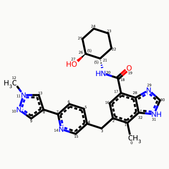 Cc1c(Cc2ccc(-c3cnn(C)c3)nc2)cc(C(=O)N[C@H]2CCCC[C@@H]2O)c2nc[nH]c12